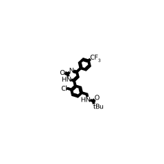 CC(C)(C)C(=O)NCc1ccc(Cl)c(-c2cc(-c3ccc(C(F)(F)F)cc3)nc(=O)[nH]2)c1